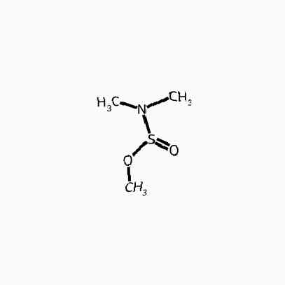 COS(=O)N(C)C